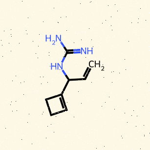 C=CC(NC(=N)N)C1=CCC1